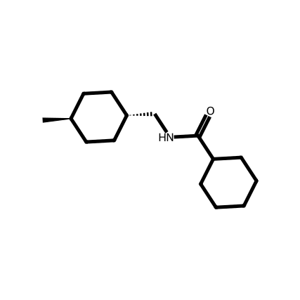 C[C@H]1CC[C@H](CNC(=O)C2CCCCC2)CC1